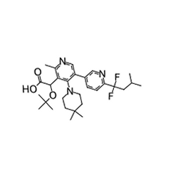 Cc1ncc(-c2ccc(C(F)(F)CC(C)C)nc2)c(N2CCC(C)(C)CC2)c1C(OC(C)(C)C)C(=O)O